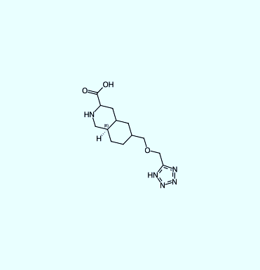 O=C(O)C1CC2CC(COCc3nnn[nH]3)CC[C@H]2CN1